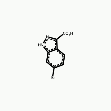 O=C(O)c1n[nH]c2cc(Br)ccc12